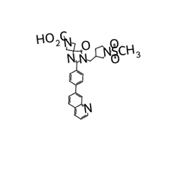 CS(=O)(=O)N1CCC(CN2C(=O)C3(CN(C(=O)O)C3)N=C2c2ccc(-c3ccc4cccnc4c3)cc2)C1